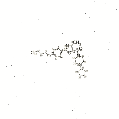 Cc1nc(-c2ccc(OCCCCl)cc2)oc1C(=O)N1CCN(C2CCCC2)CC1